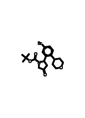 CC(C)(C)OC(=O)N1CC(=O)CC1c1cc(Br)ccc1C1CCOCC1